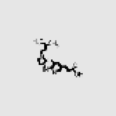 CC(C)=CCN1CC[C@@H](Nc2ncc(C=CC(=O)O)cc2Cl)C1